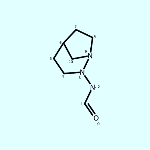 O=C[N]N1CCC2CCN1C2